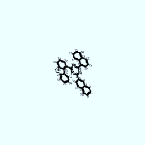 c1ccc2cc(-c3nc(-c4cccc5ccccc45)nc(-c4cccc5oc6ccccc6c45)n3)ccc2c1